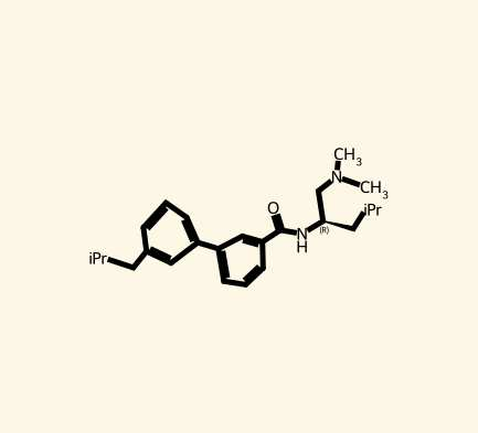 CC(C)Cc1cccc(-c2cccc(C(=O)N[C@H](CC(C)C)CN(C)C)c2)c1